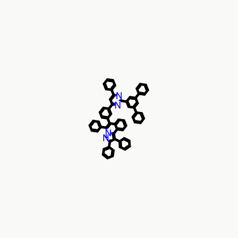 c1ccc(-c2cc(-c3ccccc3)cc(-c3nc(-c4ccccc4)cc(-c4cccc(-c5c(-c6ccccc6)n6nc(-c7ccccc7)c(-c7ccccc7)c6c6ccccc56)c4)n3)c2)cc1